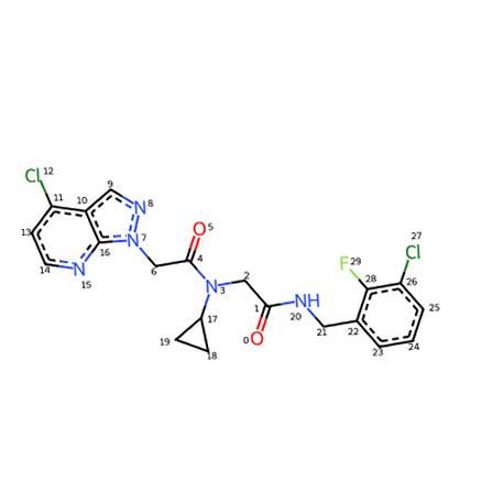 O=C(CN(C(=O)Cn1ncc2c(Cl)ccnc21)C1CC1)NCc1cccc(Cl)c1F